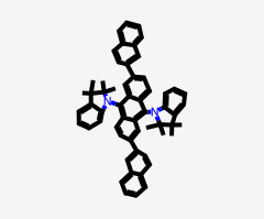 CC1(C)c2ccccc2N(c2c3ccc(-c4ccc5ccccc5c4)cc3c(N3c4ccccc4C(C)(C)C3(C)C)c3ccc(-c4ccc5ccccc5c4)cc23)C1(C)C